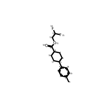 Cc1ccc(C2CCC(C(=O)OCC(F)F)CC2)cc1